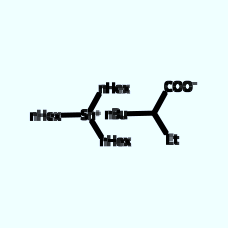 CCCCC(CC)C(=O)[O-].CCCCC[CH2][Sn+]([CH2]CCCCC)[CH2]CCCCC